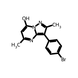 Cc1cc(O)n2nc(C)c(-c3ccc(Br)cc3)c2n1